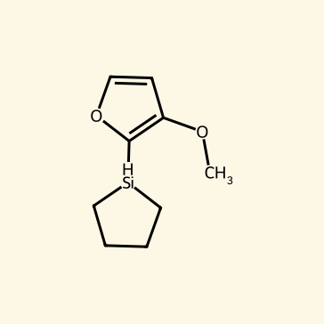 COc1ccoc1[SiH]1CCCC1